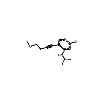 COCCC#Cc1cnc(Cl)cc1NC(C)C